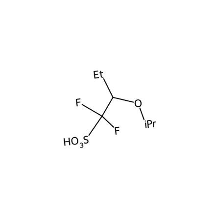 CCC(OC(C)C)C(F)(F)S(=O)(=O)O